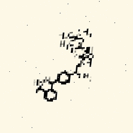 CC(CNS(=O)(=O)NC(=O)OC(C)(C)C)c1ccc(-c2n[nH]c(=O)c3ccccc23)cc1